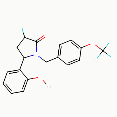 COc1ccccc1C1CC(F)C(=O)N1Cc1ccc(OC(F)(F)F)cc1